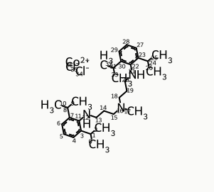 CC(C)c1cccc(C(C)C)c1NCCCN(C)CCCNc1c(C(C)C)cccc1C(C)C.[Cl-].[Cl-].[Co+2]